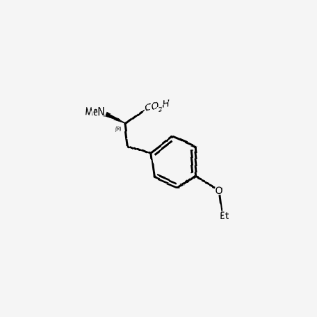 CCOc1ccc(C[C@@H](NC)C(=O)O)cc1